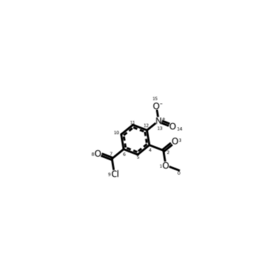 COC(=O)c1cc(C(=O)Cl)ccc1[N+](=O)[O-]